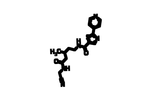 CC(CCNC(=O)c1cnc(-c2ccncc2)s1)CC(=O)NCC#N